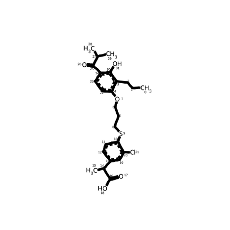 CCCc1c(OCCCSc2ccc(C(C)C(=O)O)cc2Cl)ccc(C(=O)C(C)C)c1O